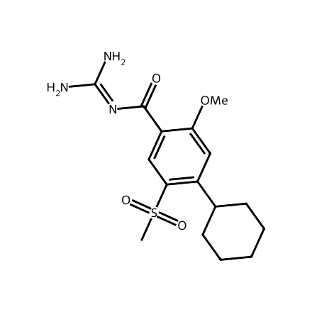 COc1cc(C2CCCCC2)c(S(C)(=O)=O)cc1C(=O)N=C(N)N